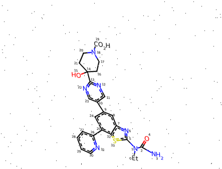 CCN(C(N)=O)c1nc2cc(-c3cnc(C4(O)CCN(C(=O)O)CC4)nc3)cc(-c3ccccn3)c2s1